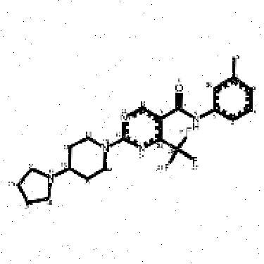 Cc1cccc(NC(=O)c2cnc(N3CCC(N4CCCC4)CC3)nc2C(F)(F)F)c1